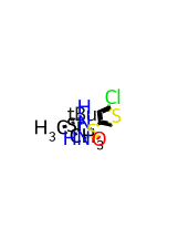 CC(C)(C)[Si](C)(C)NS(=N)(=O)c1csc(Cl)c1